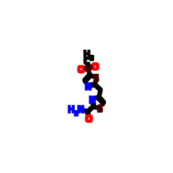 CS(=O)(=O)c1cnc(Cc2csc(C(N)=O)n2)s1